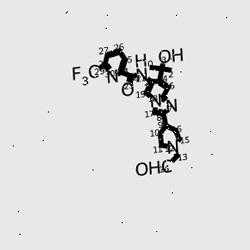 CC(C)(O)c1cc2nc(C3CCN(CC=O)CC3)cn2cc1NC(=O)c1cccc(C(F)(F)F)n1